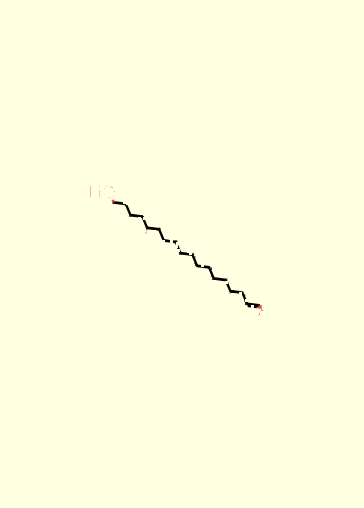 [O]C=CCCCCCCCCCCCCCCCCO